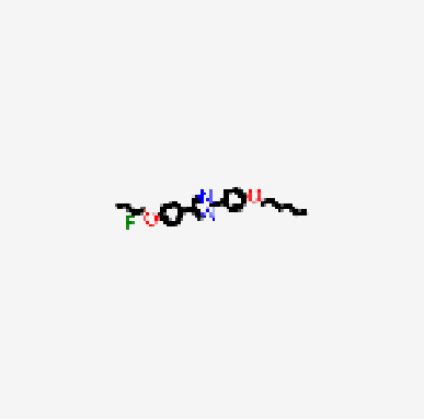 CCCCCCOc1ccc(-c2ncc(-c3ccc(OCC(F)CC)cc3)cn2)cc1